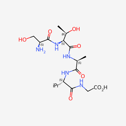 CC(C)[C@H](NC(=O)[C@H](C)NC(=O)[C@@H](NC(=O)[C@@H](N)CO)[C@@H](C)O)C(=O)NCC(=O)O